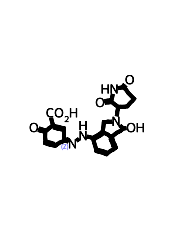 O=C1CCC(N2Cc3c(N/N=C4/C=CC(=O)C(C(=O)O)=C4)cccc3C2O)C(=O)N1